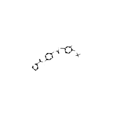 O=C(Nc1ccc(NC(=S)Nc2ccc(SC(F)(F)F)c(Cl)c2)cc1)c1ccco1